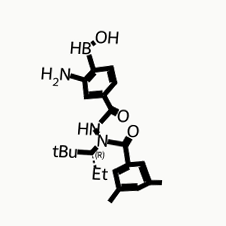 CC[C@@H](N(NC(=O)c1ccc(BO)c(N)c1)C(=O)c1cc(C)cc(C)c1)C(C)(C)C